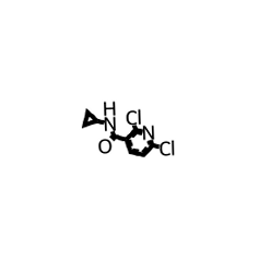 O=C(NC1CC1)c1ccc(Cl)nc1Cl